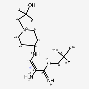 CC(C)(O)CN1CCC(N/C=C(/N)C(=N)OCC(F)(F)F)CC1